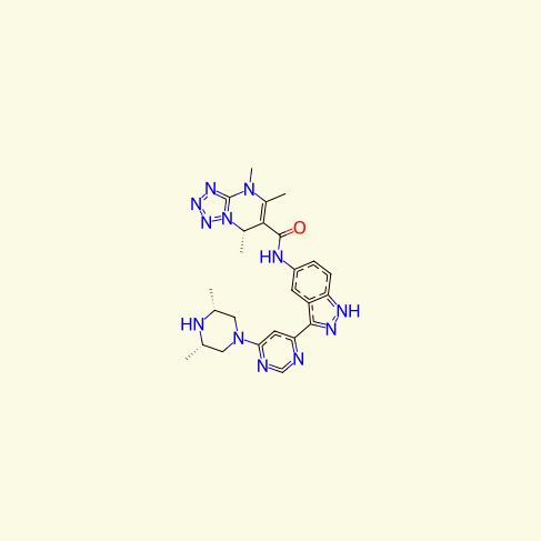 CC1=C(C(=O)Nc2ccc3[nH]nc(-c4cc(N5C[C@@H](C)N[C@@H](C)C5)ncn4)c3c2)[C@H](C)n2nnnc2N1C